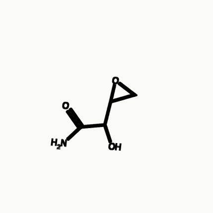 NC(=O)C(O)C1CO1